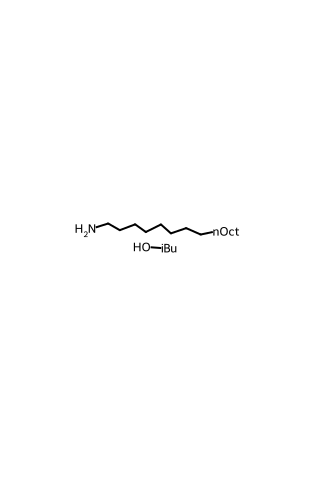 CCC(C)O.CCCCCCCCCCCCCCCCN